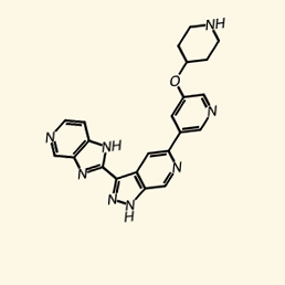 c1cc2[nH]c(-c3n[nH]c4cnc(-c5cncc(OC6CCNCC6)c5)cc34)nc2cn1